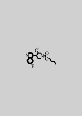 CCCCOC(=O)N1CCC(c2ccnc3ccc(F)cc23)C(OC)C1